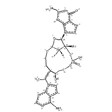 C/C(=C1\CCOC2O[C@@H](n3cnc4c(=O)[nH]c(N)nc43)[C@H](OP(=O)(S)OC[C@H]1O)[C@@H]2F)n1ccc2c(N)ncnc21